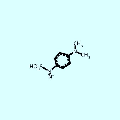 CN(C)c1ccc([N+](=[N-])S(=O)(=O)O)cc1